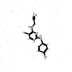 C#CCNc1nc(Nc2ccc(C(C)=O)cc2)ncc1I